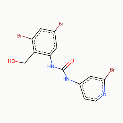 O=C(Nc1ccnc(Br)c1)Nc1cc(Br)cc(Br)c1CO